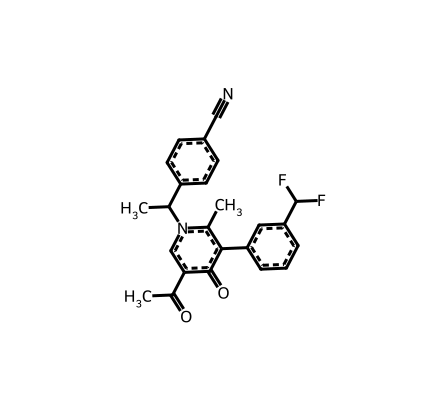 CC(=O)c1cn(C(C)c2ccc(C#N)cc2)c(C)c(-c2cccc(C(F)F)c2)c1=O